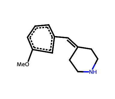 COc1cccc(C=C2CCNCC2)c1